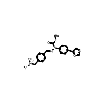 CN(C)Cc1ccc(/C=N/N(C(=O)OC(C)(C)C)c2ccc(-c3cnco3)cc2)cc1